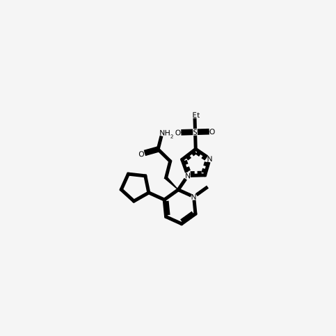 CCS(=O)(=O)c1cn([C@@]2(CCC(N)=O)C(C3CCCC3)=CC=CN2C)cn1